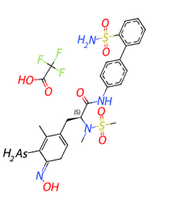 CC1=C([AsH2])C(=NO)CC=C1C[C@@H](C(=O)Nc1ccc(-c2ccccc2S(N)(=O)=O)cc1)N(C)S(C)(=O)=O.O=C(O)C(F)(F)F